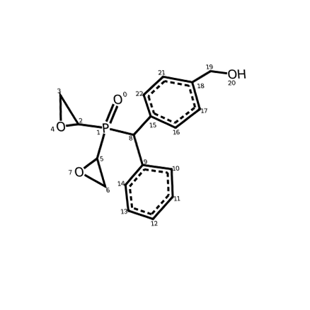 O=P(C1CO1)(C1CO1)C(c1ccccc1)c1ccc(CO)cc1